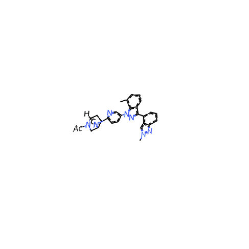 CC(=O)N1CC2CC[C@@H]1CN2c1ccc(-n2nc(-c3cccc4nn(C)cc34)c3cccc(C)c32)cn1